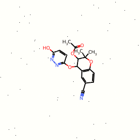 CC(=O)OC1C(Oc2ccc(O)nn2)c2cc(C#N)ccc2OC1(C)C